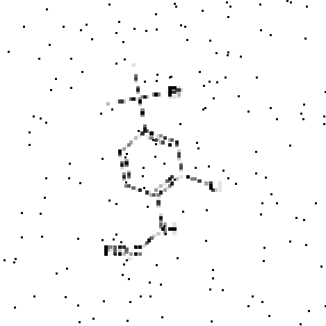 CCOC(=O)Nc1ccc(C(C)(C)CC)cc1Cl